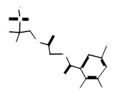 O=C(COC(=O)c1cc(I)cc(I)c1I)OCC(F)(F)S(=O)(=O)O